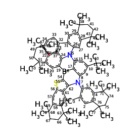 Cc1cc2c(cc1N1c3cc(C(C)(C)C)cc4c3B(c3cc5c(cc3N4c3cc4c(cc3-c3ccccc3)C(C)(C)CCC4(C)C)C(C)(C)CCC5(C)C)c3sc4cc5c(cc4c31)C(C)(C)CCC5(C)C)C(C)(C)CCC2(C)C